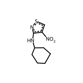 O=[N+]([O-])c1csnc1NC1CCCCC1